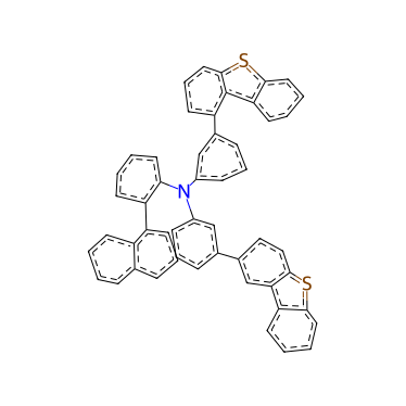 c1cc(-c2ccc3sc4ccccc4c3c2)cc(N(c2cccc(-c3cccc4sc5ccccc5c34)c2)c2ccccc2-c2cccc3ccccc23)c1